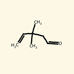 C=CC(C)(C)CC=O